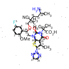 COc1ccc(F)cc1[C@H](Cn1c(=O)n(C(C)(C)C(=O)O)c(=O)c2c(C)c(-n3nccn3)sc21)OCC(C)(C#N)CCC(C)N